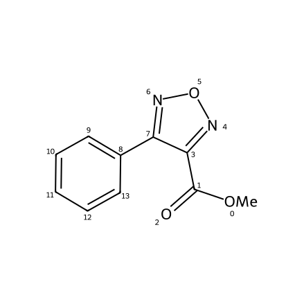 COC(=O)c1nonc1-c1ccccc1